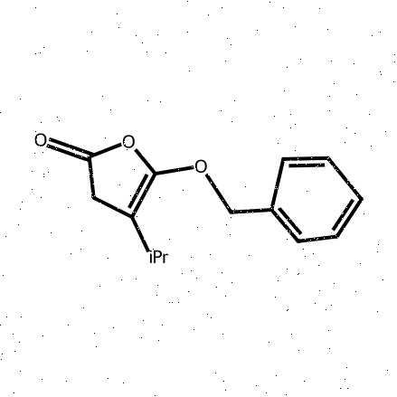 CC(C)C1=C(OCc2ccccc2)OC(=O)C1